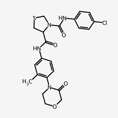 Cc1cc(NC(=O)C2CSCN2C(=O)Nc2ccc(Cl)cc2)ccc1N1CCOCC1=O